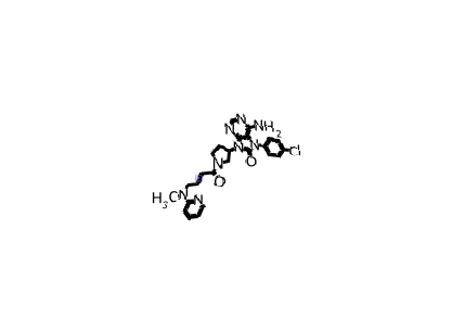 CN(C/C=C/C(=O)N1CCC(n2c(=O)n(-c3ccc(Cl)cc3)c3c(N)ncnc32)C1)c1ccccn1